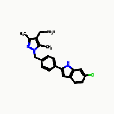 Cc1nn(Cc2ccc(-c3cc4ccc(Cl)cc4[nH]3)cc2)c(C)c1CC(=O)O